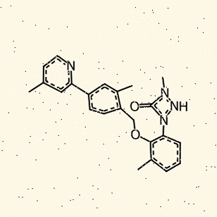 Cc1ccnc(-c2ccc(COc3c(C)cccc3-n3[nH]n(C)c3=O)c(C)c2)c1